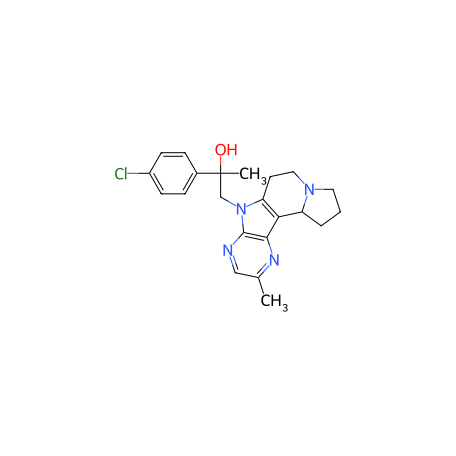 Cc1cnc2c(n1)c1c(n2CC(C)(O)c2ccc(Cl)cc2)CCN2CCCC12